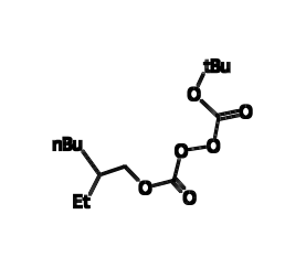 CCCCC(CC)COC(=O)OOC(=O)OC(C)(C)C